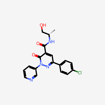 C[C@@H](CO)NC(=O)c1cc(-c2ccc(Cl)cc2)nn(-c2cccnc2)c1=O